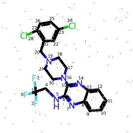 FC(F)(F)CNc1nc2ccccc2nc1N1CCN(Cc2cc(Cl)ccc2Cl)CC1